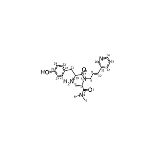 C[C@H](C(=O)N(C)C)N(C/C=C/c1cccnc1)C(=O)C(N)Cc1ccc(O)cc1